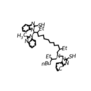 CCCCC(CC)CN(CC(CC)CCCCCCCCC(CC)C(n1c(C)nc2ccccc21)n1c(S)nc2ccccc21)Cn1c(S)nc2ccccc21